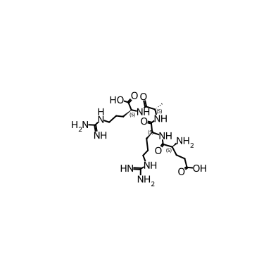 C[C@H](NC(=O)[C@H](CCCNC(=N)N)NC(=O)[C@@H](N)CCC(=O)O)C(=O)N[C@@H](CCCNC(=N)N)C(=O)O